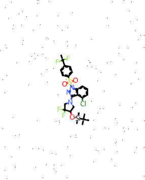 CC(F)(F)c1ccc(S(=O)(=O)n2nc(N3CC(O[Si](C)(C)C(C)(C)C)C(F)(F)C3)c3c(Cl)cccc32)cc1